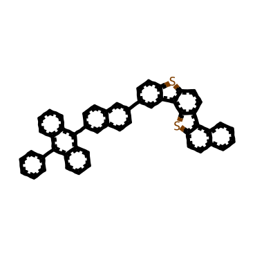 c1ccc(-c2c3ccccc3c(-c3ccc4cc(-c5ccc6sc7ccc8c(sc9ccc%10ccccc%10c98)c7c6c5)ccc4c3)c3ccccc23)cc1